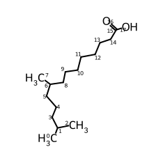 CC(C)CCCC(C)CCCCCCCC(=O)O